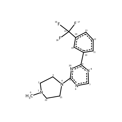 CN1CCN(c2ncnc(-c3cccc(C(F)(F)F)c3)n2)CC1